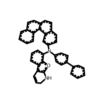 C1=Cc2c(oc3c(N(c4ccc(-c5ccccc5)cc4)c4ccc5ccc6ccc7ccccc7c6c5c4)cccc23)NC1